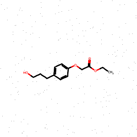 CCOC(=O)COc1ccc(CCCO)cc1